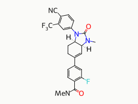 CNC(=O)c1ccc(C2=C[C@H]3[C@@H](CC2)N(c2ccc(C#N)c(C(F)(F)F)c2)C(=O)N3C)cc1F